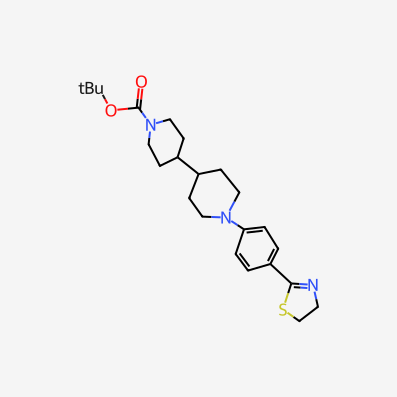 CC(C)(C)OC(=O)N1CCC(C2CCN(c3ccc(C4=NCCS4)cc3)CC2)CC1